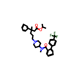 CC(C)OC(=O)CC(C)(CCCN1CCC(N(C)C(=O)c2ccccc2-c2ccc(C(F)(F)F)cc2)CC1)c1ccccc1